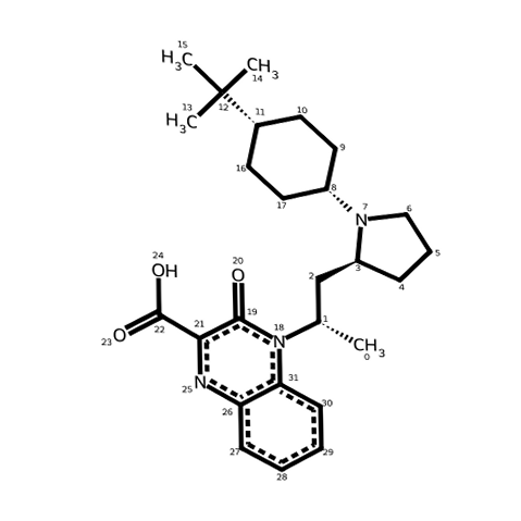 C[C@@H](C[C@@H]1CCCN1[C@H]1CC[C@@H](C(C)(C)C)CC1)n1c(=O)c(C(=O)O)nc2ccccc21